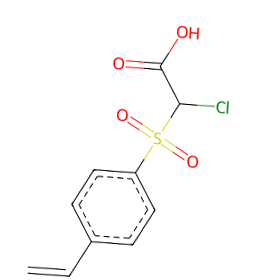 C=Cc1ccc(S(=O)(=O)C(Cl)C(=O)O)cc1